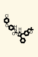 CC1(C)Cc2cc(C3=C(c4ccccc4)CN(C(=O)Nc4ccc(Oc5ccc(Cl)cc5)cc4)N3)ccc2O1